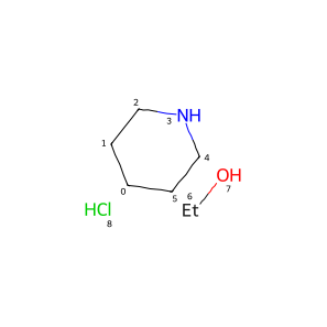 C1CCNCC1.CCO.Cl